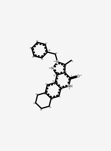 Cc1c2c(=O)[nH]c3cc4c(cc3c2nn1Cc1ccccc1)CCCC4